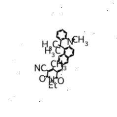 CCN1C(=O)C(C#N)=C(C)/C(=C\c2ccc3c4c(ccc3c2)N(C)c2ccccc2C4(C)C)C1=O